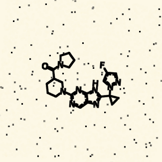 O=C(C1CCCN(c2ncc3nc(C4(n5cc(F)cn5)CC4)[nH]c3n2)C1)N1CCCC1